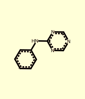 [c]1ccc(Nc2ncncn2)cc1